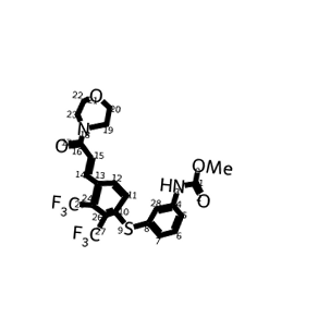 COC(=O)Nc1cccc(Sc2ccc(C=CC(=O)N3CCOCC3)c(C(F)(F)F)c2C(F)(F)F)c1